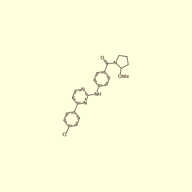 COC1CCCN1C(=O)c1ccc(Nc2nccc(-c3ccc(Cl)cc3)n2)cc1